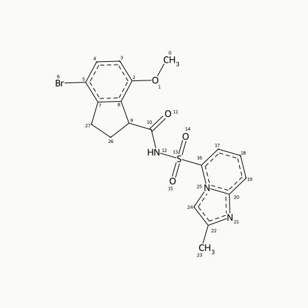 COc1ccc(Br)c2c1C(C(=O)NS(=O)(=O)c1cccc3nc(C)cn13)CC2